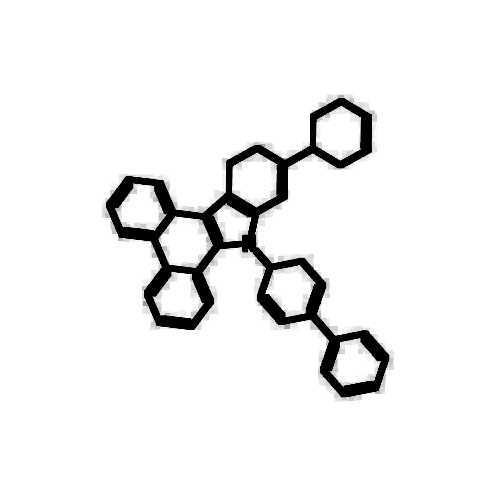 C1=CCC(C2=Cc3c(c4c5ccccc5c5ccccc5c4n3C3C=CC(c4ccccc4)=CC3)CC2)CC1